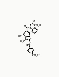 CCOC(=O)c1ccc(NCc2nc3cc(C(=O)N(CC(CC)C(=O)O)c4ccccn4)ccc3n2C)cc1.Cl